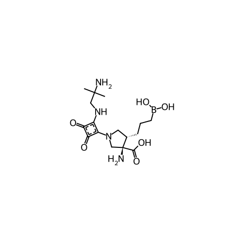 CC(C)(N)CNc1c(N2C[C@H](CCCB(O)O)[C@](N)(C(=O)O)C2)c(=O)c1=O